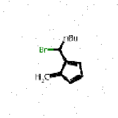 C=C1C=CC=C1C(Br)CCCC